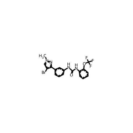 Cn1cc(Br)c(-c2cccc(NC(=O)Nc3ccccc3OC(F)(F)F)c2)n1